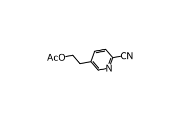 CC(=O)OCCc1ccc(C#N)nc1